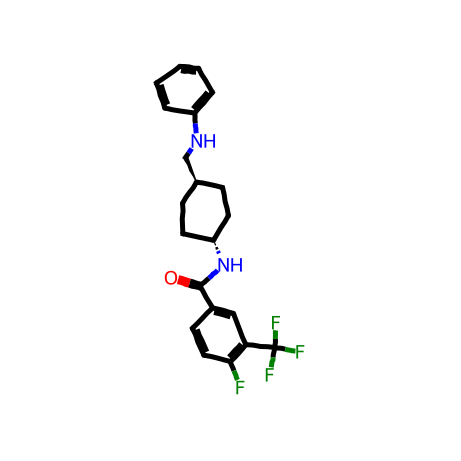 O=C(N[C@H]1CC[C@H](CNc2ccccc2)CC1)c1ccc(F)c(C(F)(F)F)c1